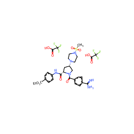 CCOC(=O)c1ccc(NC(=O)[C@@H]2C[C@H](N3CCN(S(C)(=O)=O)CC3)CN2C(=O)c2ccc(C(=N)N)cc2)cc1.O=C(O)C(F)(F)F.O=C(O)C(F)(F)F